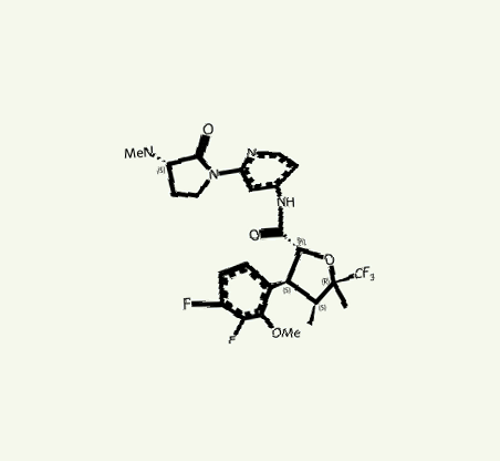 CN[C@H]1CCN(c2cc(NC(=O)[C@@H]3O[C@@](C)(C(F)(F)F)[C@@H](C)[C@H]3c3ccc(F)c(F)c3OC)ccn2)C1=O